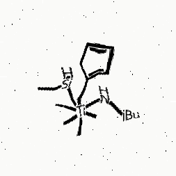 CCC(C)[NH][Ti]([CH3])([CH3])([CH3])([CH3])([C]1=CC=CC1)[SiH](C)C